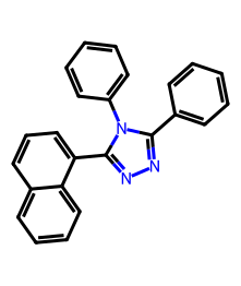 c1ccc(-c2nnc(-c3cccc4ccccc34)n2-c2ccccc2)cc1